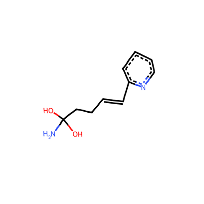 NC(O)(O)CC/C=C/c1ccccn1